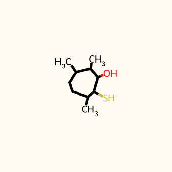 CC1CCC(C)C(S)C(O)C1C